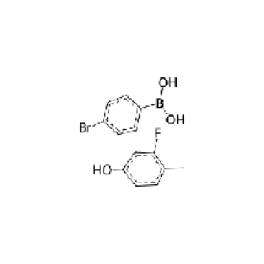 Cc1ccc(O)cc1F.OB(O)c1ccc(Br)cc1